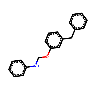 [CH](c1ccccc1)c1cccc(OCNc2ccccc2)c1